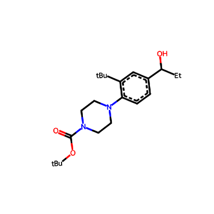 CCC(O)c1ccc(N2CCN(C(=O)OC(C)(C)C)CC2)c(C(C)(C)C)c1